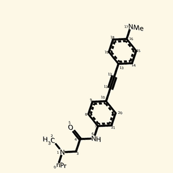 CCCN(C)CC(=O)Nc1ccc(C#Cc2ccc(NC)cc2)cc1